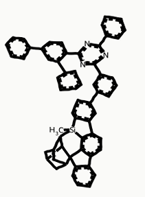 C[Si]12c3ccc(-c4cccc(-c5nc(-c6ccccc6)nc(-c6ccc(-c7ccccc7)cc6-c6ccccc6)n5)c4)cc3-c3ccc4c(c31)C1(c3ccccc3-4)C3CC4CC(C3)C2C1C4